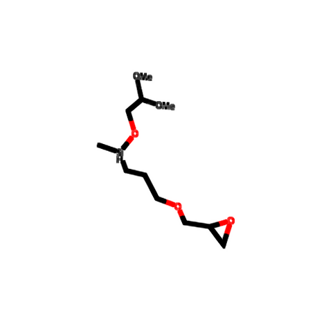 COC(CO[SiH](C)CCCOCC1CO1)OC